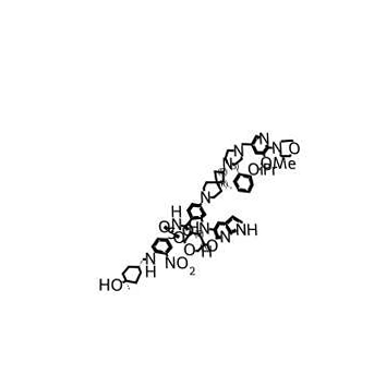 COc1cc(CN2CCN([C@@H]3CC4(CCN(c5ccc(C(=O)NS(=O)(=O)c6ccc(NC[C@H]7CC[C@](C)(O)CC7)c([N+](=O)[O-])c6)c(N6c7cc8cc[nH]c8nc7O[C@H]7COCC[C@@H]76)c5)CC4)[C@H]3C)[C@@H](c3ccccc3OC(C)C)C2)cnc1N1CCOCC1